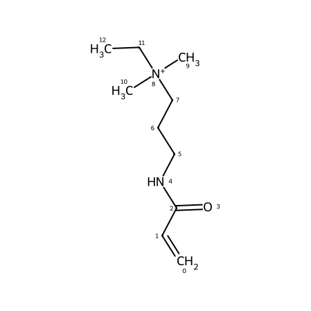 C=CC(=O)NCCC[N+](C)(C)CC